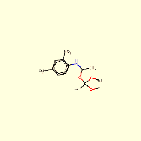 CCC[Si](OCC)(OCC)OC(C)Nc1ccc([N+](=O)[O-])cc1[N+](=O)[O-]